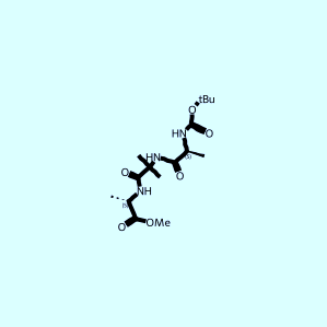 COC(=O)[C@H](C)NC(=O)C(C)(C)NC(=O)[C@H](C)NC(=O)OC(C)(C)C